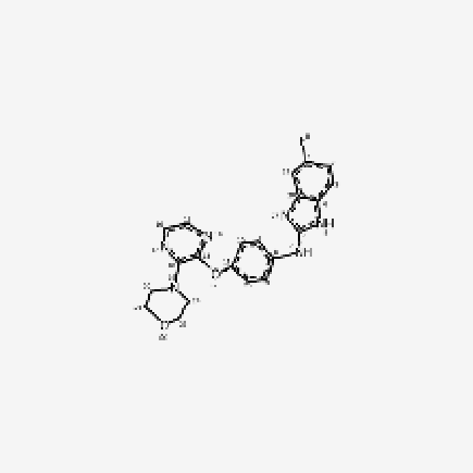 Fc1ccc2[nH]c(Nc3ccc(Oc4nccnc4N4CCOCC4)cc3)nc2c1